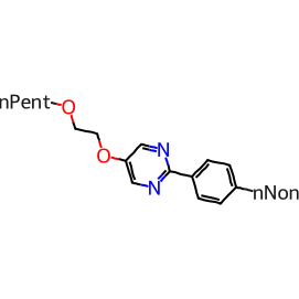 CCCCCCCCCc1ccc(-c2ncc(OCCOCCCCC)cn2)cc1